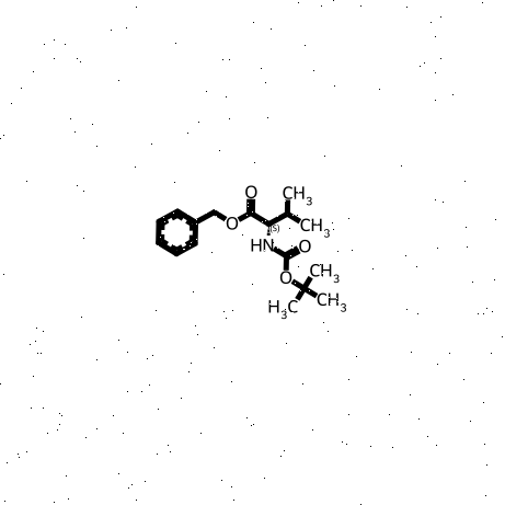 CC(C)[C@H](NC(=O)OC(C)(C)C)C(=O)OCc1ccccc1